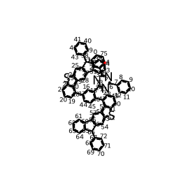 c1ccc(-c2nc(-c3ccccc3)nc(-c3cc(-c4cccc5sc6cc7c(cc6c45)-c4ccccc4C7c4ccccc4)ccc3-c3cccc4sc5cc6c(cc5c34)-c3ccccc3C6c3ccccc3)n2)cc1